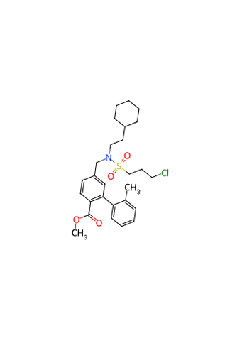 COC(=O)c1ccc(CN(CCC2CCCCC2)S(=O)(=O)CCCCl)cc1-c1ccccc1C